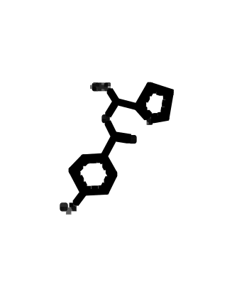 O=[C]C(OC(=O)c1ccc([N+](=O)[O-])cc1)c1cccs1